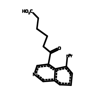 CCCc1cccc2cncc(C(=O)CCCCC(=O)O)c12